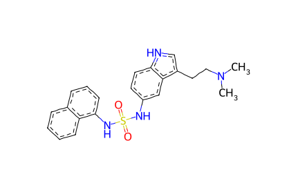 CN(C)CCc1c[nH]c2ccc(NS(=O)(=O)Nc3cccc4ccccc34)cc12